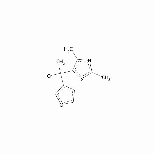 Cc1nc(C)c(C(C)(O)c2ccoc2)s1